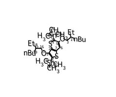 CCCCC(CC)COC1=Cc2s[c]([Sn]([CH3])([CH3])[CH3])c(OCC(CC)CCCC)c2S[CH]1[Sn]([CH3])([CH3])[CH3]